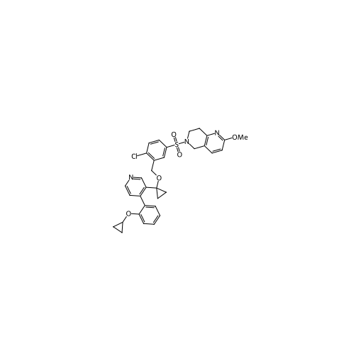 COc1ccc2c(n1)CCN(S(=O)(=O)c1ccc(Cl)c(COC3(c4cnccc4-c4ccccc4OC4CC4)CC3)c1)C2